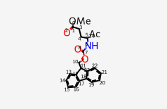 COC(=O)CCC(NC(=O)OCC1c2ccccc2-c2ccccc21)C(C)=O